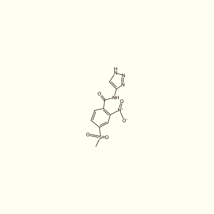 CS(=O)(=O)c1ccc(C(=O)Nc2c[nH]nn2)c([N+](=O)[O-])c1